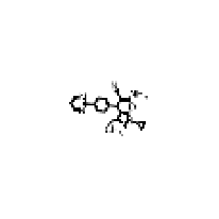 CCc1nn(C2CC2)c2c1C(c1ccc(-c3ncccn3)cc1)C(C#N)=C(N)O2